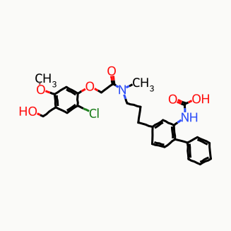 COc1cc(OCC(=O)N(C)CCCc2ccc(-c3ccccc3)c(NC(=O)O)c2)c(Cl)cc1CO